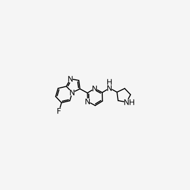 Fc1ccc2ncc(-c3nccc(NC4CCNC4)n3)n2c1